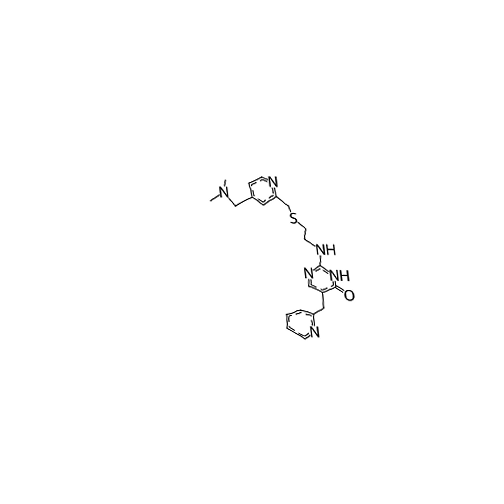 CN(C)Cc1ccnc(CSCCNc2ncc(Cc3ccccn3)c(=O)[nH]2)c1